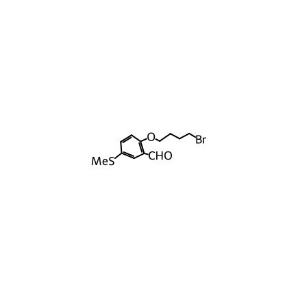 CSc1ccc(OCCCCBr)c(C=O)c1